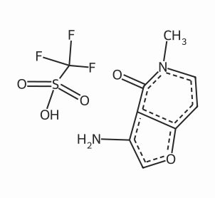 Cn1ccc2occ(N)c2c1=O.O=S(=O)(O)C(F)(F)F